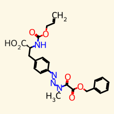 C=CCOC(=O)N[C@@H](Cc1ccc(/N=N/N(C)C(=O)C(=O)OCc2ccccc2)cc1)C(=O)O